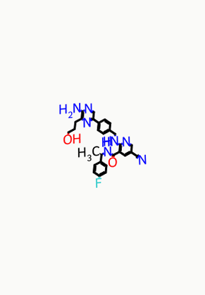 C[C@H](NC(=O)c1cc(C#N)cnc1NCc1ccc(-c2cnc(N)c(CCCO)n2)cc1)c1ccc(F)cc1